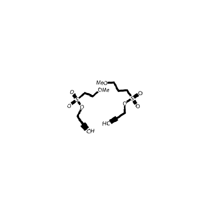 C#CCOS(=O)(=O)CCCOC.C#CCOS(=O)(=O)CCOC